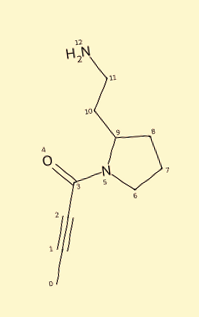 CC#CC(=O)N1CCCC1CCN